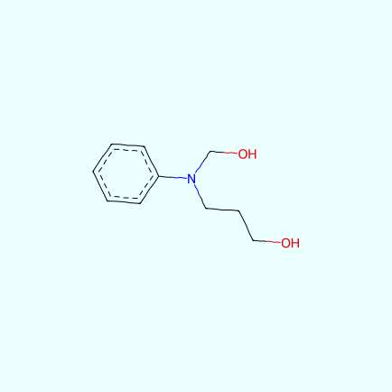 OCCCN(CO)c1ccccc1